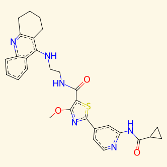 COc1nc(-c2ccnc(NC(=O)C3CC3)c2)sc1C(=O)NCCNc1c2c(nc3ccccc13)CCCC2